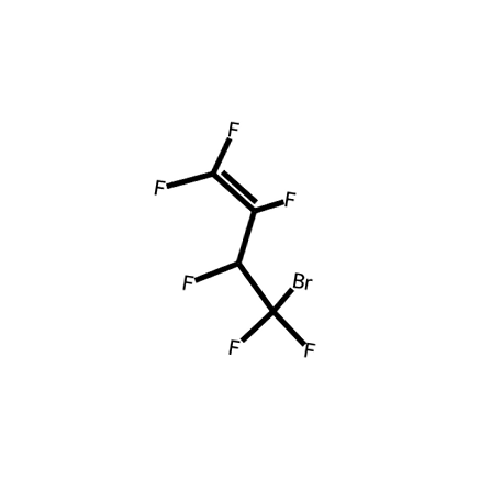 FC(F)=C(F)C(F)C(F)(F)Br